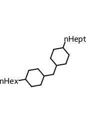 CCCCCCCC1CCC(CC2CCC(CCCCCC)CC2)CC1